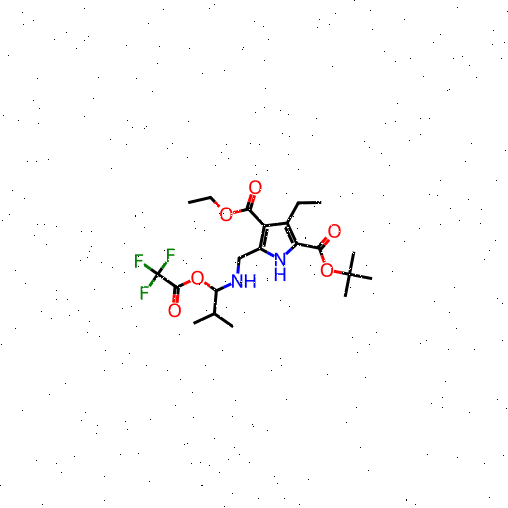 CCOC(=O)c1c(CNC(OC(=O)C(F)(F)F)C(C)C)[nH]c(C(=O)OC(C)(C)C)c1CC